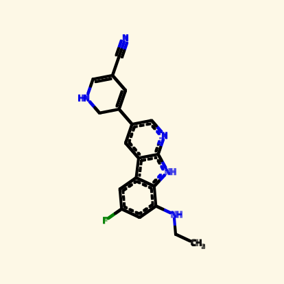 CCNc1cc(F)cc2c1[nH]c1ncc(C3=CC(C#N)=CNC3)cc12